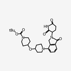 CC(C)(C)OC(=O)N1CCC(OC2CCN(c3cccc4c3CN(C3CCC(=O)NC3=O)C4=O)CC2)CC1